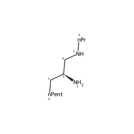 CCCCCC[C@H](N)CNCCC